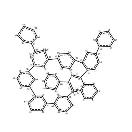 C/N=C(\N=C(/c1ccccc1)c1ccc(-c2ccccc2)cc1-c1ccc(-c2nc(-c3ccccc3)nc(-c3cccc(-c4cccc(-c5cccc(C#N)c5)c4)c3)n2)cc1)c1ccccc1